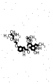 Cc1cc2c3c(cc(O)c2[nH]1)N(C(=O)c1cc2cc(OCCNC(=O)[C@@H](N)C(C)C)ccc2[nH]1)C[C@@H](OS(C)(=O)=O)C3